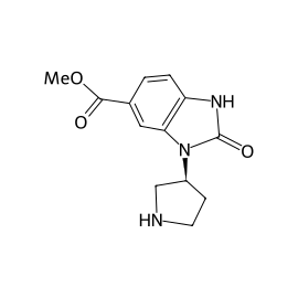 COC(=O)c1ccc2[nH]c(=O)n([C@H]3CCNC3)c2c1